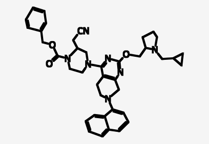 N#CCC1CN(c2nc(OCC3CCCN3CC3CC3)nc3c2CCN(c2cccc4ccccc24)C3)CCN1C(=O)OCc1ccccc1